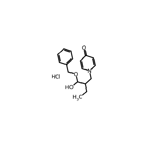 CCC(Cn1ccc(=O)cc1)C(O)OCc1ccccc1.Cl